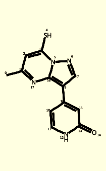 Cc1cc(S)n2ncc(-c3cc[nH]c(=O)c3)c2n1